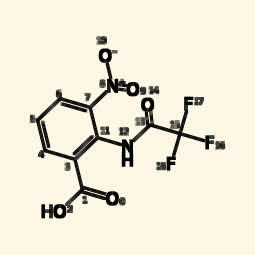 O=C(O)c1cccc([N+](=O)[O-])c1NC(=O)C(F)(F)F